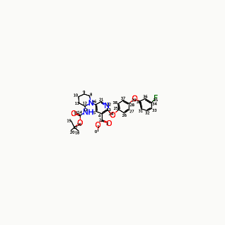 COC(=O)c1cc(N2CCCCC2NC(=O)OC(C)(C)C)cnc1Oc1ccc(Oc2cccc(F)c2)cc1